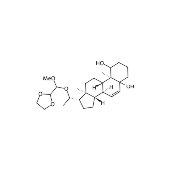 COC(OC(C)[C@H]1CC[C@H]2[C@@H]3C=CC4(O)CCCC(O)[C@]4(C)[C@H]3CC[C@]12C)C1OCCO1